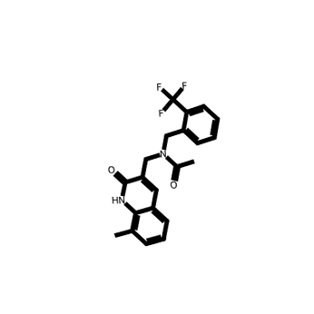 CC(=O)N(Cc1ccccc1C(F)(F)F)Cc1cc2cccc(C)c2[nH]c1=O